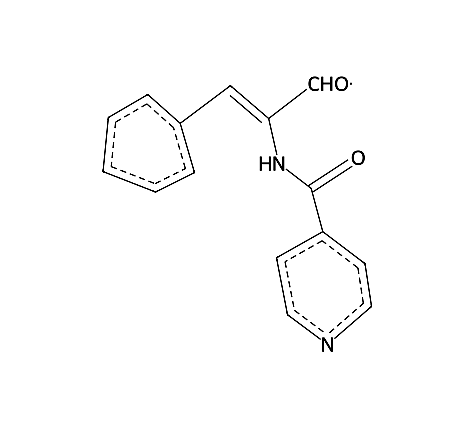 O=[C]C(=Cc1ccccc1)NC(=O)c1ccncc1